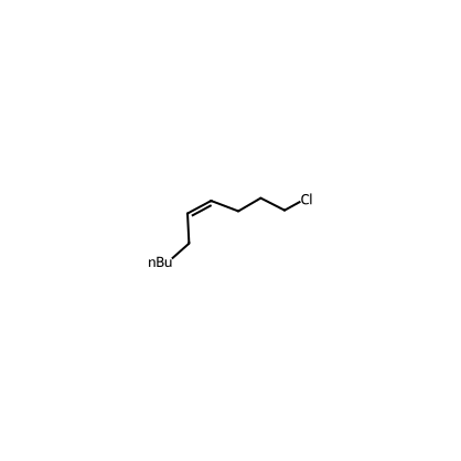 CCCCC/C=C\CCCCl